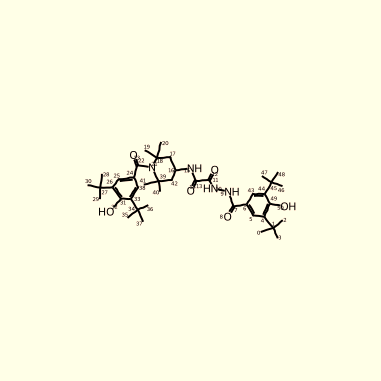 CC(C)(C)c1cc(C(=O)NNC(=O)C(=O)NC2CC(C)(C)N(C(=O)c3cc(C(C)(C)C)c(O)c(C(C)(C)C)c3)C(C)(C)C2)cc(C(C)(C)C)c1O